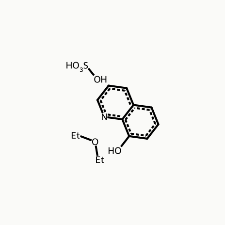 CCOCC.O=S(=O)(O)O.Oc1cccc2cccnc12